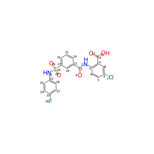 O=C(Nc1ccc(Cl)cc1C(=O)O)c1cccc(S(=O)(=O)Nc2ccc(F)cc2)c1